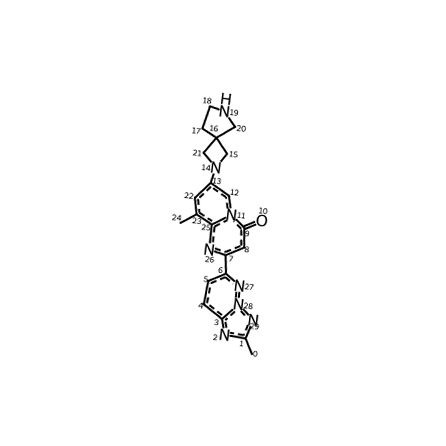 Cc1nc2ccc(-c3cc(=O)n4cc(N5CC6(CCNC6)C5)cc(C)c4n3)nn2n1